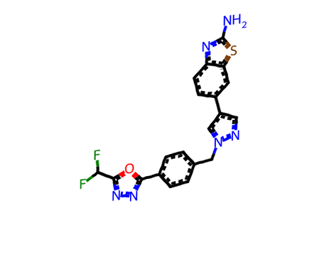 Nc1nc2ccc(-c3cnn(Cc4ccc(-c5nnc(C(F)F)o5)cc4)c3)cc2s1